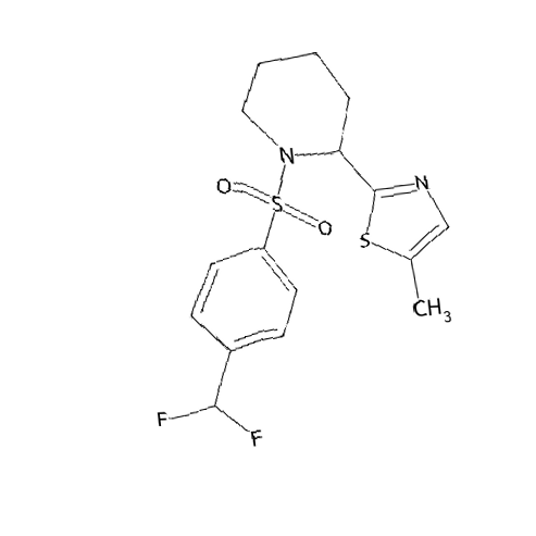 Cc1cnc(C2CCCCN2S(=O)(=O)c2ccc(C(F)F)cc2)s1